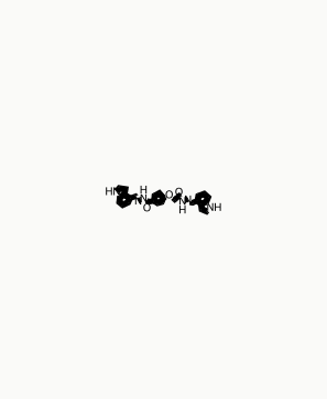 O=C(COc1ccc(C(=O)N/N=C/c2cccc3[nH]ccc23)cc1)N/N=C/c1cccc2[nH]ccc12